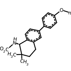 CCCOc1ccc(-c2ccc3c(c2)CCC(C)(C)[C@H]3NC(=O)O)cc1